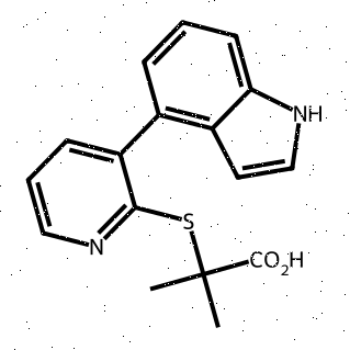 CC(C)(Sc1ncccc1-c1cccc2[nH]ccc12)C(=O)O